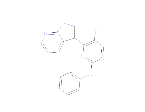 Clc1cnc(Nc2c[c]ccc2)nc1-c1c[nH]c2ncccc12